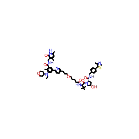 CCN(c1cc(-c2ccc(CCCOCCCCC(=O)NC(C(=O)N3C[C@H](O)C[C@H]3C(=O)NCc3ccc(-c4scnc4C)cc3)C(C)(C)C)cn2)cc(C(=O)NCc2c(C)cc(C)[nH]c2=O)c1C)C1CCOCC1